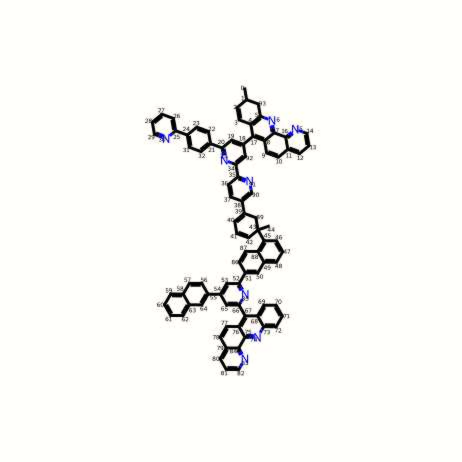 CC1C=Cc2c(nc3c(ccc4cccnc43)c2-c2cc(-c3ccc(-c4ccccn4)cc3)nc(-c3ccc(C4=CC=CC(C)(c5cccc6cc(-c7cc(-c8ccc9ccccc9c8)cc(-c8c9ccccc9nc9c8ccc8cccnc89)n7)ccc56)C4)cn3)c2)C1